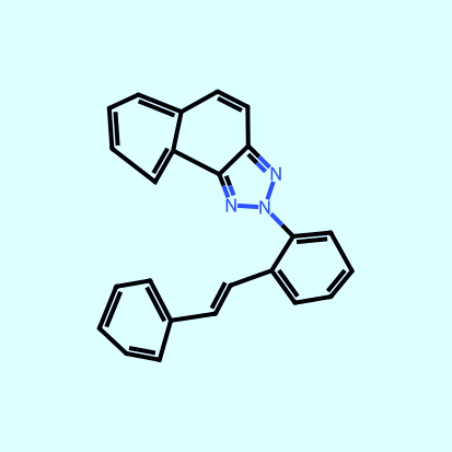 C(=Cc1ccccc1-n1nc2ccc3ccccc3c2n1)c1ccccc1